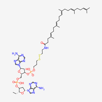 CC[C@H]1O[C@@H](n2cnc3c(N)ncnc32)CC1OP(=O)(O)OC[C@H]1O[C@@H](n2cnc3c(N)ncnc32)CC1OP(=O)(O)OCCCSSCCNC(=O)CC/C(C)=C/CC/C(C)=C/CC/C=C(\C)CC/C=C(\C)CCC=C(C)C